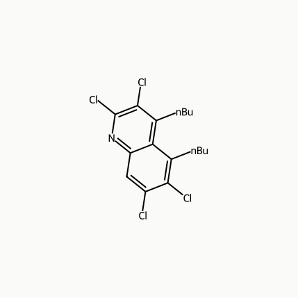 CCCCc1c(Cl)c(Cl)cc2nc(Cl)c(Cl)c(CCCC)c12